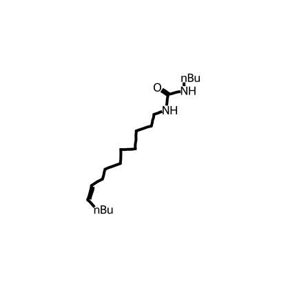 CCCC/C=C\CCCCCCCCNC(=O)NCCCC